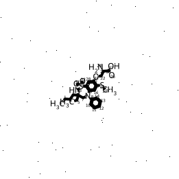 CCCCC1(CC)CN(c2ccccc2)c2cc(SC)c(OC[C@H](N)C(=O)O)cc2S(=O)(=O)N1